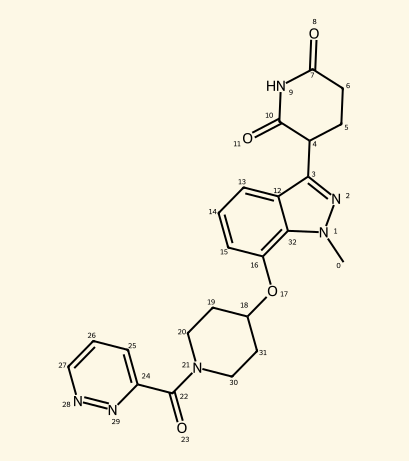 Cn1nc(C2CCC(=O)NC2=O)c2cccc(OC3CCN(C(=O)c4cccnn4)CC3)c21